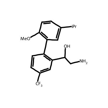 COc1ccc(C(C)C)cc1-c1ccc(C(F)(F)F)cc1C(O)CN